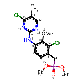 CCOP(=O)(Cc1ccc(Nc2ncc(C(F)(F)F)c(Cl)n2)c(OC)c1Cl)OCC